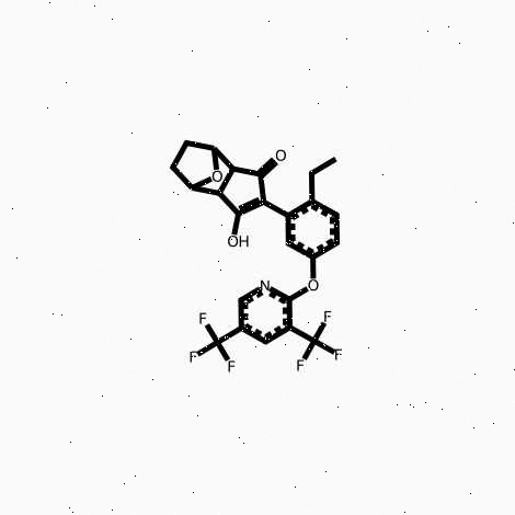 CCc1ccc(Oc2ncc(C(F)(F)F)cc2C(F)(F)F)cc1C1=C(O)C2C3CCC(O3)C2C1=O